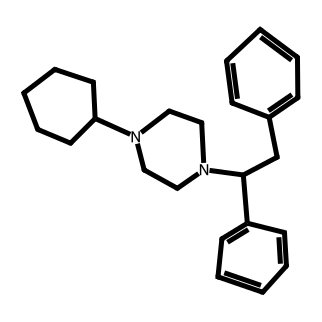 c1ccc(CC(c2ccccc2)N2CCN(C3CCCCC3)CC2)cc1